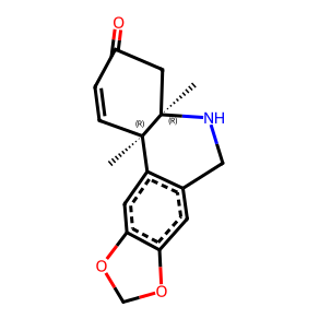 C[C@@]12CC(=O)C=C[C@]1(C)c1cc3c(cc1CN2)OCO3